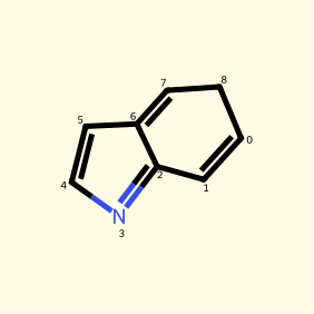 C1=CC2=NC=CC2=CC1